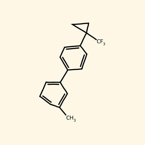 Cc1cccc(-c2ccc(C3(C(F)(F)F)CC3)cc2)c1